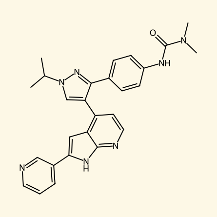 CC(C)n1cc(-c2ccnc3[nH]c(-c4cccnc4)cc23)c(-c2ccc(NC(=O)N(C)C)cc2)n1